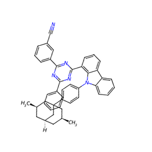 C[C@@H]1C[C@@H]2C[C@H](C)CC(c3ccc(-n4c5ccccc5c5cccc(-c6nc(-c7ccccc7)nc(-c7cccc(C#N)c7)n6)c54)cc3)(C1)C2